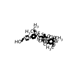 C=Nc1c(C(=O)NC2=C(Cl)C(OC)=C(Br)C(OC)=CC2Cl)csc1/C(=N\C)N(F)c1ccc(N2CCN(CCO)CC2)cc1OC(C)C